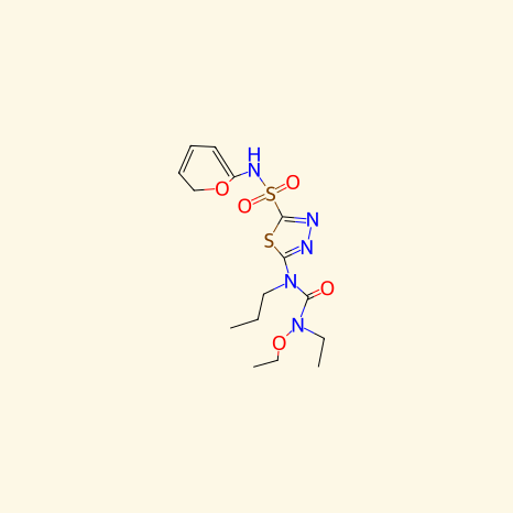 CCCN(C(=O)N(CC)OCC)c1nnc(S(=O)(=O)NC2=CC=CCO2)s1